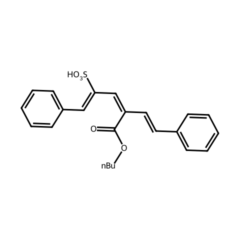 CCCCOC(=O)C(C=Cc1ccccc1)=CC(=Cc1ccccc1)S(=O)(=O)O